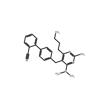 CCCCc1nc(C)nc(N(C)C)c1Cc1ccc(-c2ccccc2C#N)cc1